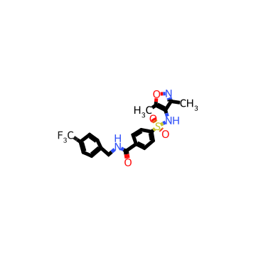 Cc1noc(C)c1NS(=O)(=O)c1ccc(C(=O)NCc2ccc(C(F)(F)F)cc2)cc1